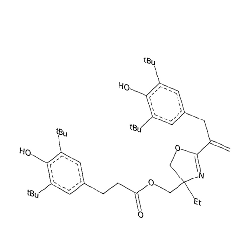 C=C(Cc1cc(C(C)(C)C)c(O)c(C(C)(C)C)c1)C1=NC(CC)(COC(=O)CCc2cc(C(C)(C)C)c(O)c(C(C)(C)C)c2)CO1